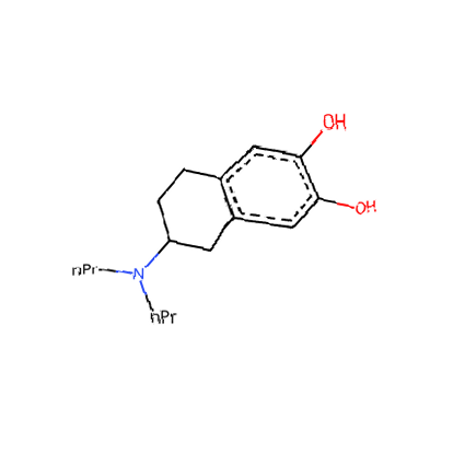 CCCN(CCC)C1CCc2cc(O)c(O)cc2C1